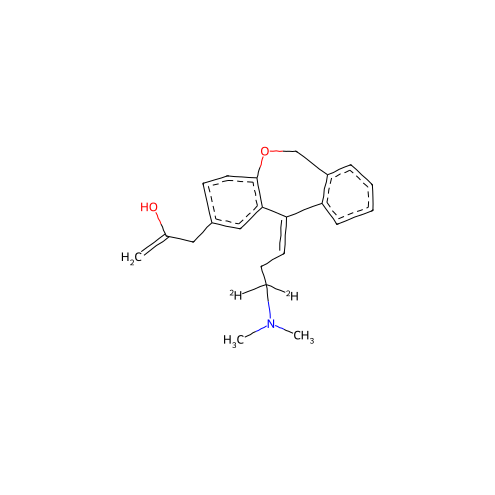 [2H]C([2H])(C/C=C1/c2ccccc2COc2ccc(CC(=C)O)cc21)N(C)C